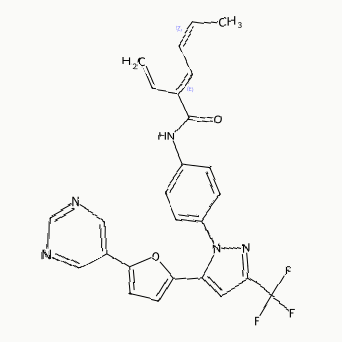 C=C/C(=C\C=C/C)C(=O)Nc1ccc(-n2nc(C(F)(F)F)cc2-c2ccc(-c3cncnc3)o2)cc1